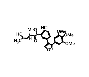 COc1cc(-c2nocc2-c2cccc(N(OC)C(=O)NCC(C)O)c2)cc(OC)c1OC.Cl